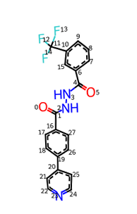 O=C(NNC(=O)c1cccc(C(F)(F)F)c1)c1ccc(-c2ccncc2)cc1